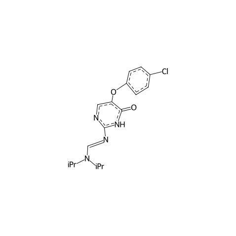 CC(C)N(C=Nc1ncc(Oc2ccc(Cl)cc2)c(=O)[nH]1)C(C)C